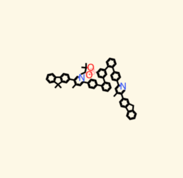 Cc1cc(-c2ccc(-c3ccccc3-c3cc(B4OC(C)C(C)(C)O4)cc(-c4ccccc4-c4ccc(-c5cc(C)c(-c6ccc7c(c6)C(C)(C)c6ccccc6-7)cn5)cc4)c3)cc2)ncc1-c1ccc2c(c1)Cc1ccccc1-2